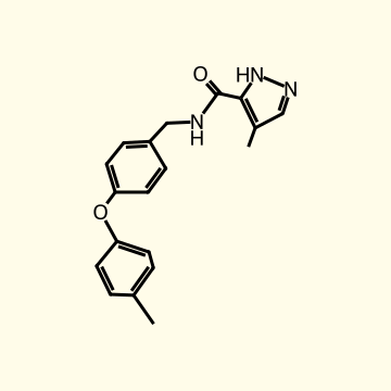 Cc1ccc(Oc2ccc(CNC(=O)c3[nH]ncc3C)cc2)cc1